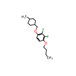 CCCCOc1ccc(OCC2CCC(C)CC2)c(F)c1F